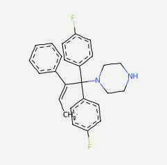 [CH2]C=C(c1ccccc1)C(c1ccc(F)cc1)(c1ccc(F)cc1)N1CCNCC1